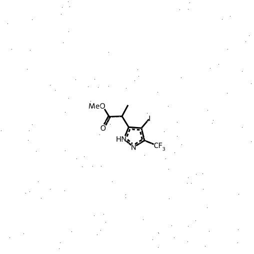 COC(=O)C(C)c1[nH]nc(C(F)(F)F)c1I